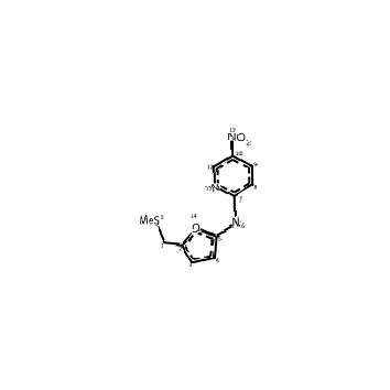 CSCc1ccc([N]c2ccc([N+](=O)[O-])cn2)o1